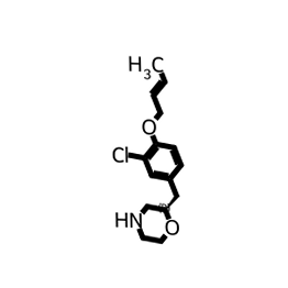 CC=CCOc1ccc(C[C@@H]2CNCCO2)cc1Cl